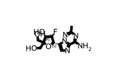 Cc1nc(N)c2ncc([C@@H]3OC(CO)(CO)[C@@H](O)[C@H]3F)n2n1